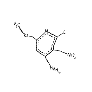 Nc1cc(OC(F)(F)F)nc(Cl)c1[N+](=O)[O-]